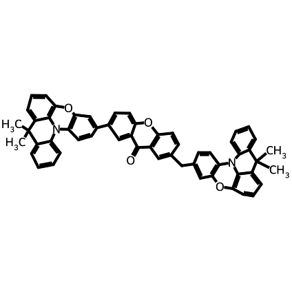 CC1(C)c2ccccc2N2c3ccc(Cc4ccc5oc6ccc(-c7ccc8c(c7)Oc7cccc9c7N8c7ccccc7C9(C)C)cc6c(=O)c5c4)cc3Oc3cccc1c32